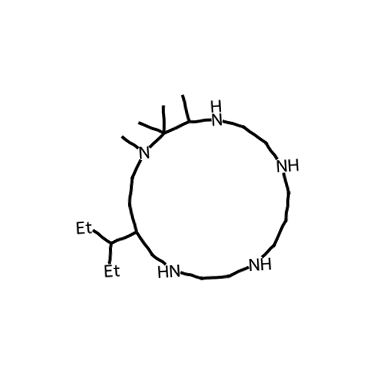 CCC(CC)C1CCN(C)C(C)(C)C(C)NCCNCCCNCCNC1